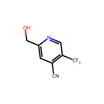 N#Cc1cc(CO)ncc1C(F)(F)F